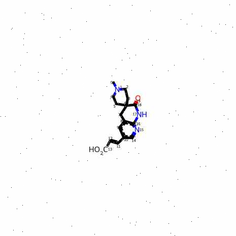 CN1CCC2(CC1)Cc1cc(C=CC(=O)O)cnc1NC2=O